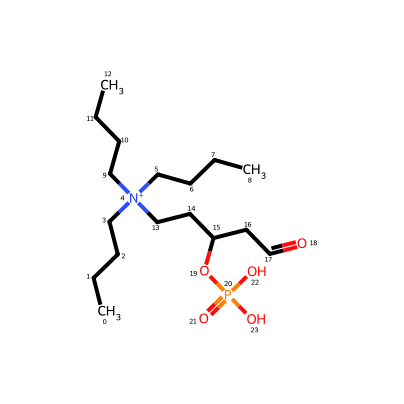 CCCC[N+](CCCC)(CCCC)CCC(CC=O)OP(=O)(O)O